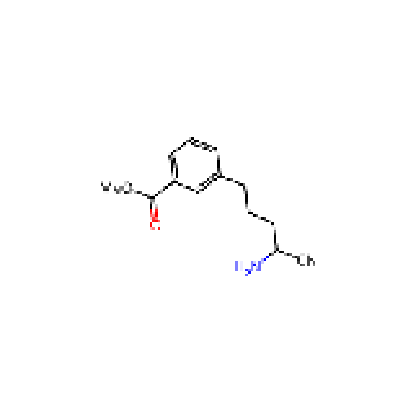 COC(=O)c1cccc(CCCC(N)C#N)c1